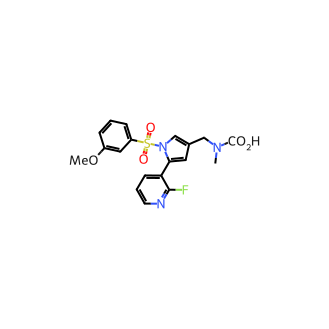 COc1cccc(S(=O)(=O)n2cc(CN(C)C(=O)O)cc2-c2cccnc2F)c1